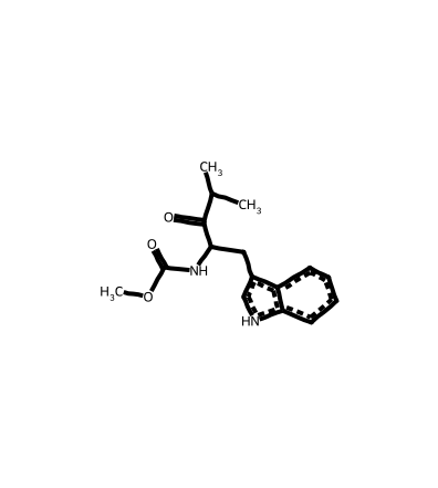 COC(=O)NC(Cc1c[nH]c2ccccc12)C(=O)C(C)C